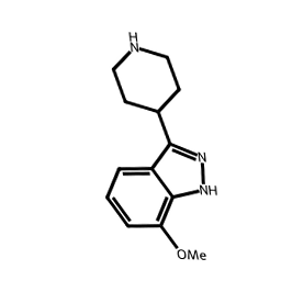 COc1cccc2c(C3CCNCC3)n[nH]c12